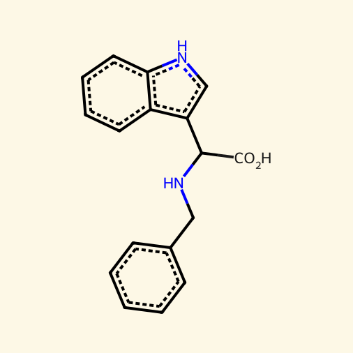 O=C(O)C(NCc1ccccc1)c1c[nH]c2ccccc12